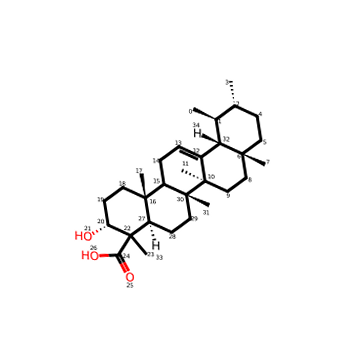 C[C@H]1[C@H](C)CC[C@]2(C)CC[C@]3(C)C(=CCC4[C@@]5(C)CC[C@@H](O)C(C)(C(=O)O)[C@@H]5CC[C@]43C)[C@H]12